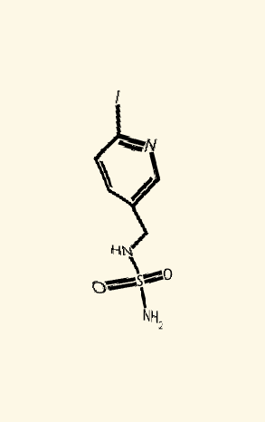 NS(=O)(=O)NCc1ccc(I)nc1